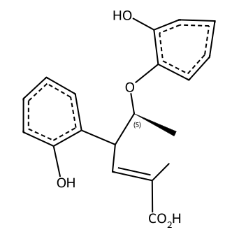 CC(=CC(c1ccccc1O)[C@H](C)Oc1ccccc1O)C(=O)O